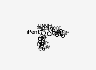 CCCC(C)CC1([15N+](C)(C)NN)CCCCC1.CCCC(C)CC1([15N](C)C)CCCCC1.[Cu+2].[Cu+2].[O-][Cl+3]([O-])([O-])[O-].[O-][Cl+3]([O-])([O-])[O-].[O-][Cl+3]([O-])([O-])[O-].[O-][Cl+3]([O-])([O-])[O-]